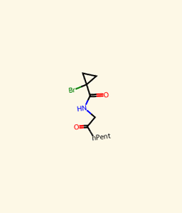 CCCCCC(=O)CNC(=O)C1(Br)CC1